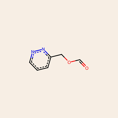 O=COCc1cccnn1